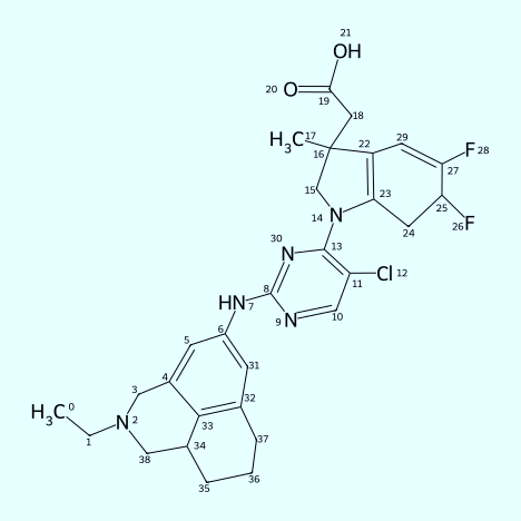 CCN1Cc2cc(Nc3ncc(Cl)c(N4CC(C)(CC(=O)O)C5=C4CC(F)C(F)=C5)n3)cc3c2C(CCC3)C1